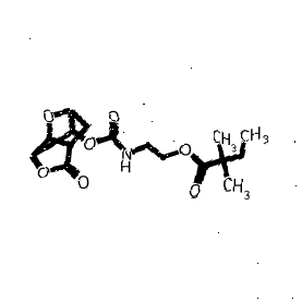 CCC(C)(C)C(=O)OCCNC(=O)OC1C2CC3C(=O)OC1C3O2